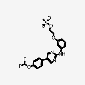 CS(=O)(=O)OCCOc1cccc(Nc2ncc(-c3ccc(OC(F)F)cc3)cn2)c1